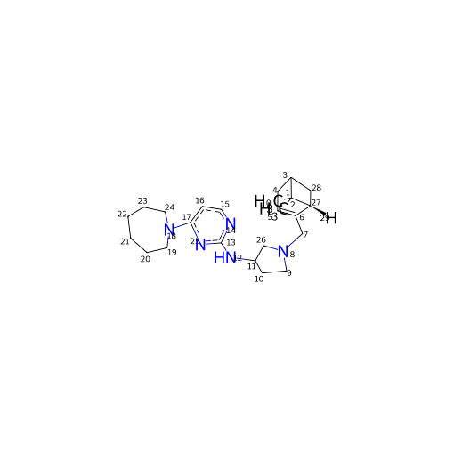 CC1(C)C2CC=C(CN3CCC(Nc4nccc(N5CCCCCC5)n4)C3)[C@H]1C2